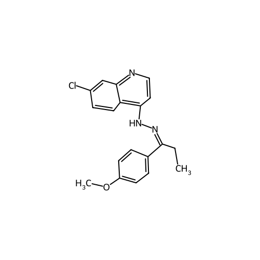 CC/C(=N/Nc1ccnc2cc(Cl)ccc12)c1ccc(OC)cc1